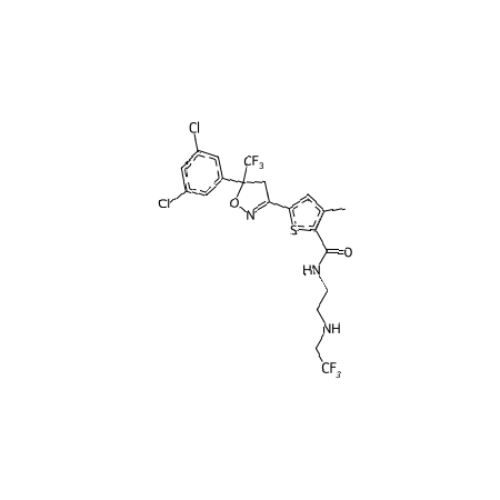 Cc1cc(C2=NOC(c3cc(Cl)cc(Cl)c3)(C(F)(F)F)C2)sc1C(=O)NCCNCC(F)(F)F